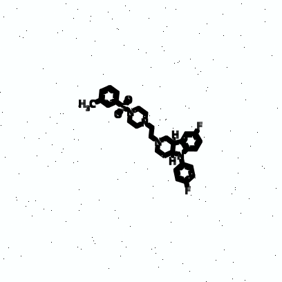 Cc1cccc(S(=O)(=O)N2CCN(CCN3CC[C@@H]4[C@@H](C3)c3cc(F)ccc3N4c3ccc(F)cc3)CC2)c1